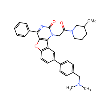 COC1CCCN(C(=O)Cn2c(=O)nc(-c3ccccc3)c3oc4ccc(-c5ccc(CN(C)C)cc5)cc4c32)C1